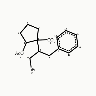 CC(=O)OC1CCCC1(C(=O)O)C(Cc1ccccc1)CC(C)C